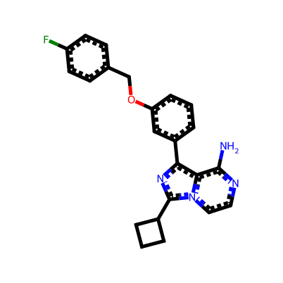 Nc1nccn2c(C3CCC3)nc(-c3cccc(OCc4ccc(F)cc4)c3)c12